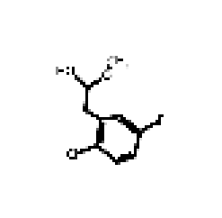 COC(O)Cc1cc(F)ccc1Cl